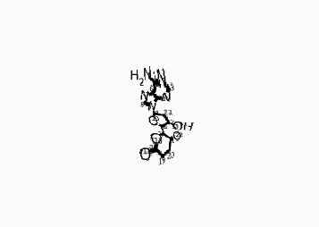 Nc1ncnc2c1ncn2[C@H]1C[C@H](O)[C@@H](C2OC(=O)CCC2=O)O1